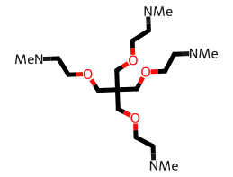 CNCCOCC(COCCNC)(COCCNC)COCCNC